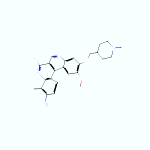 COc1cc2c(cc1OCC1CCN(C)CC1)ncc1c(N)nc3c(C)c(N)ccc3c12